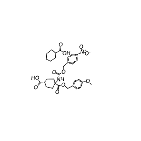 COc1ccc(COC(=O)[C@]2(NC(=O)OCc3ccc([N+](=O)[O-])cc3)CC[C@H](C(=O)O)CC2)cc1.O=C(O)C1CCCCC1